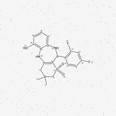 CC1(C)CC2=C(C(c3ccc(F)cc3F)Nc3cccc(O)c3N2)S(=O)(=O)C1